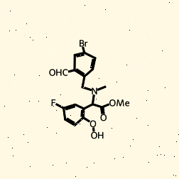 COC(=O)C(c1cc(F)ccc1OO)N(C)Cc1ccc(Br)cc1C=O